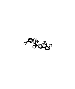 CN1N=C2C=CC(C#N)=CN2C1C(=O)N1CCC(c2cccc(Cl)c2C(F)(F)F)CC1